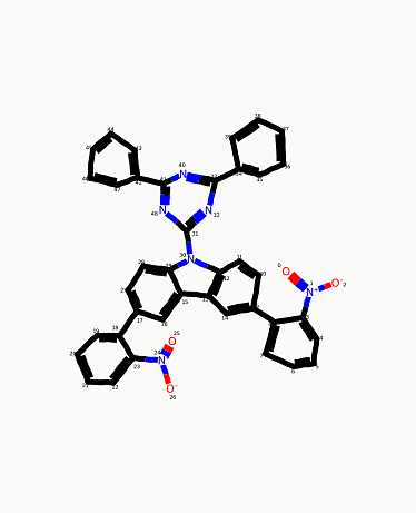 O=[N+]([O-])c1ccccc1-c1ccc2c(c1)c1cc(-c3ccccc3[N+](=O)[O-])ccc1n2-c1nc(-c2ccccc2)nc(-c2ccccc2)n1